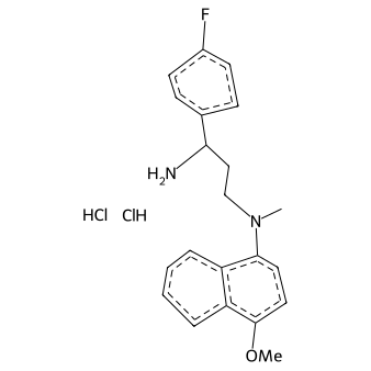 COc1ccc(N(C)CCC(N)c2ccc(F)cc2)c2ccccc12.Cl.Cl